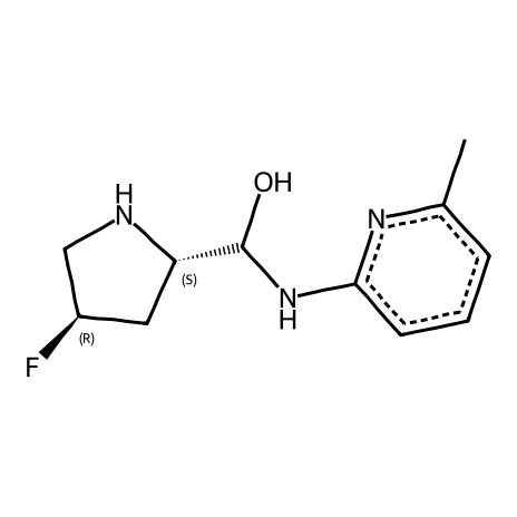 Cc1cccc(NC(O)[C@@H]2C[C@@H](F)CN2)n1